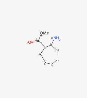 COC(=O)C1CCCCCC1N